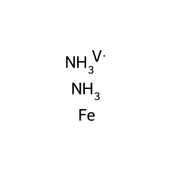 N.N.[Fe].[V]